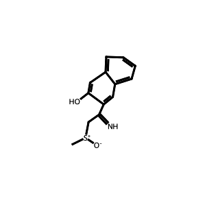 C[S+]([O-])CC(=N)c1cc2ccccc2cc1O